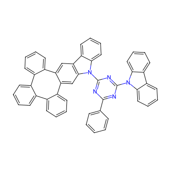 c1ccc(-c2nc(-n3c4ccccc4c4ccccc43)nc(-n3c4ccccc4c4cc5c(cc43)-c3ccccc3-c3ccccc3-c3ccccc3-5)n2)cc1